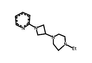 CCN1CCN(C2CN(c3ccccn3)C2)CC1